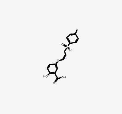 Cc1ccc(S(=O)(=O)C/C=C\Oc2ccc(O)c(C(=O)O)c2)cc1